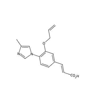 C=CCOc1cc(/C=C/C(=O)O)ccc1-n1cnc(C)c1